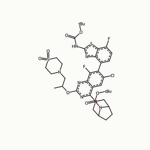 CC(CN1CCS(=O)(=O)CC1)Oc1nc(N2CC3CCC(C2)N3C(=O)OC(C)(C)C)c2cc(Cl)c(-c3ccc(F)c4sc(NC(=O)OC(C)(C)C)nc34)c(F)c2n1